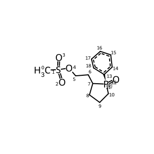 CS(=O)(=O)OCCC1CCC[P@]1(=O)c1ccccc1